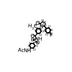 CC(=O)Nc1ccc(S(=O)(=O)NC(=O)c2ccc(N3C(=O)CSC3c3ccc(F)cc3)c(C)c2)cc1